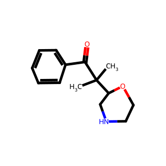 CC(C)(C(=O)c1ccccc1)C1CNCCO1